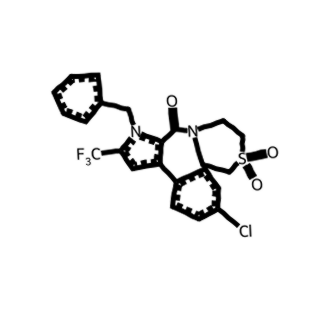 O=C(c1c(-c2ccc(Cl)cc2)cc(C(F)(F)F)n1Cc1ccccc1)N1CCS(=O)(=O)CC1